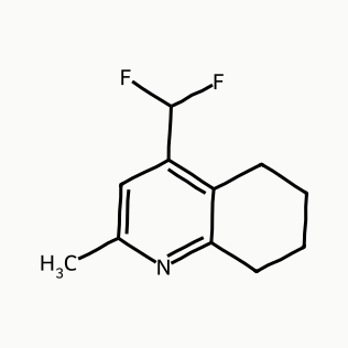 Cc1cc(C(F)F)c2c(n1)CCCC2